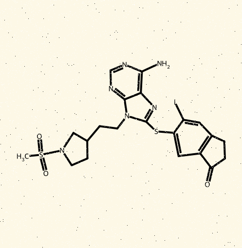 CS(=O)(=O)N1CCC(CCn2c(Sc3cc4c(cc3I)CCC4=O)nc3c(N)ncnc32)C1